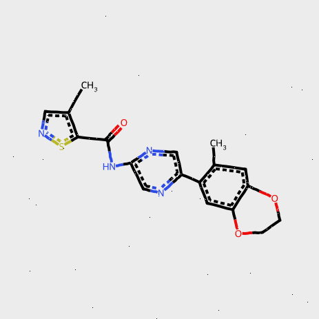 Cc1cc2c(cc1-c1cnc(NC(=O)c3sncc3C)cn1)OCCO2